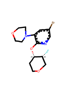 F[C@@H]1COCC[C@@H]1Oc1ncc(Br)cc1N1CCOCC1